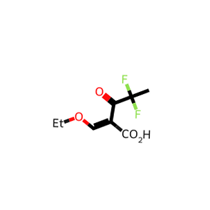 CCOC=C(C(=O)O)C(=O)C(C)(F)F